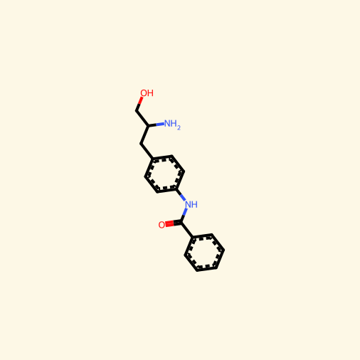 NC(CO)Cc1ccc(NC(=O)c2ccccc2)cc1